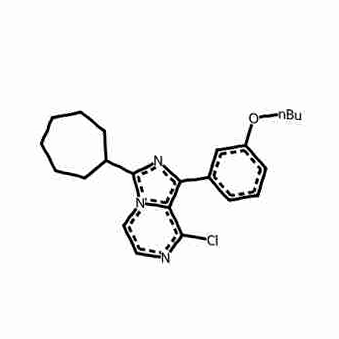 CCCCOc1cccc(-c2nc(C3CCCCCC3)n3ccnc(Cl)c23)c1